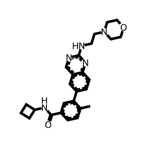 Cc1ccc(C(=O)NC2CCC2)cc1-c1ccc2nc(NCCN3CCOCC3)ncc2c1